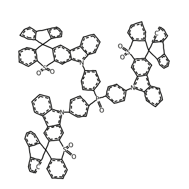 O=P(c1ccc(-n2c3ccccc3c3cc4c(cc32)S(=O)(=O)c2ccccc2C42c3ccccc3-c3ccccc32)cc1)(c1ccc(-n2c3ccccc3c3cc4c(cc32)S(=O)(=O)c2ccccc2C42c3ccccc3-c3ccccc32)cc1)c1ccc(-n2c3ccccc3c3cc4c(cc32)S(=O)(=O)c2ccccc2C42c3ccccc3-c3ccccc32)cc1